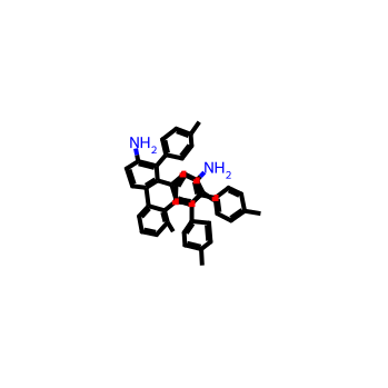 Cc1ccc(-c2c(N)ccc(-c3cccc(C)c3-c3ccc(N)c(-c4ccc(C)cc4)c3-c3ccc(C)cc3)c2-c2ccc(C)cc2)cc1